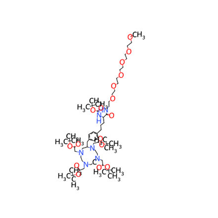 COCCOCCOCCOCCOCCOCCNC(=O)C(CCCc1ccc(CC2CN(CC(=O)OC(C)(C)C)CCN(CC(=O)OC(C)(C)C)CCN(CC(=O)OC(C)(C)C)CCN2CC(=O)OC(C)(C)C)cc1)NC(=O)OC(C)(C)C